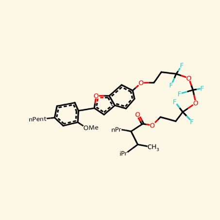 CCCCCc1ccc(-c2cc3ccc(OCCC(F)(F)OC(F)(F)OC(F)(F)CCOC(=O)C(CCC)C(C)C(C)C)cc3o2)c(OC)c1